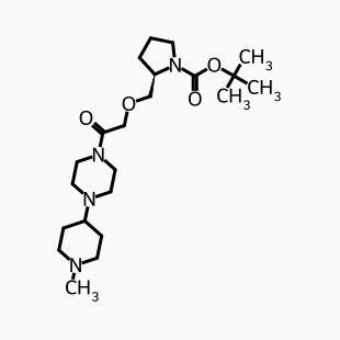 CN1CCC(N2CCN(C(=O)COC[C@H]3CCCN3C(=O)OC(C)(C)C)CC2)CC1